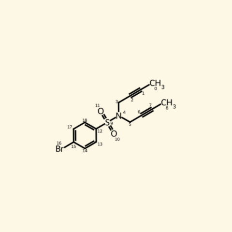 CC#CCN(CC#CC)S(=O)(=O)c1ccc(Br)cc1